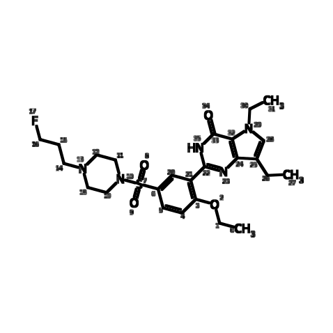 CCOc1ccc(S(=O)(=O)N2CCN(CCCF)CC2)cc1-c1nc2c(CC)cn(CC)c2c(=O)[nH]1